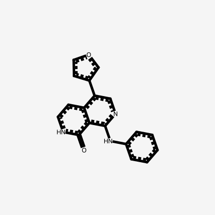 O=c1[nH]ccc2c(-c3ccoc3)cnc(Nc3ccccc3)c12